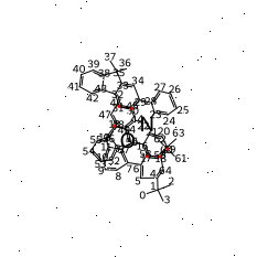 CC(C)(C)c1cc(-c2cccc3cccc(-c4ccccc4N(c4ccccc4-c4ccc5c(c4)C(C)(C)c4ccccc4-5)c4cccc5c4oc4ccccc45)c23)cc(C(C)(C)C)c1